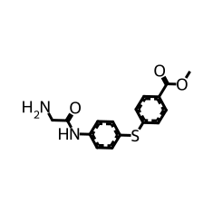 COC(=O)c1ccc(Sc2ccc(NC(=O)CN)cc2)cc1